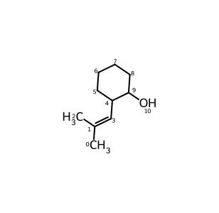 CC(C)=CC1CCCCC1O